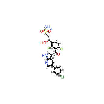 NS(=O)(=O)CCC(O)c1ccc(F)c(C(=O)c2c[nH]c3ncc(-c4ccc(Cl)cc4)cc23)c1F